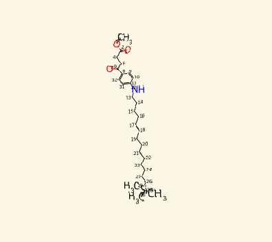 COC(=O)CCC(=O)c1ccc(NCCCCCCCCCCCCCC[Si](C)(C)C)cc1